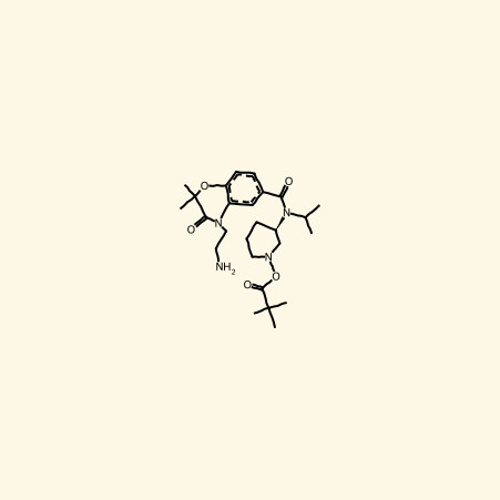 CC(C)N(C(=O)c1ccc2c(c1)N(CCN)C(=O)C(C)(C)O2)[C@@H]1CCCN(OC(=O)C(C)(C)C)C1